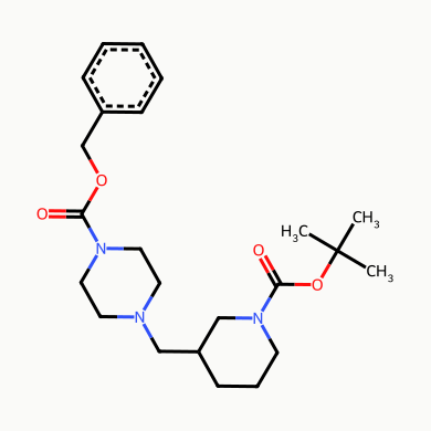 CC(C)(C)OC(=O)N1CCCC(CN2CCN(C(=O)OCc3ccccc3)CC2)C1